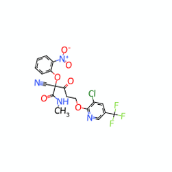 CNC(=O)C(C#N)(Oc1ccccc1[N+](=O)[O-])C(=O)CCOc1ncc(C(F)(F)F)cc1Cl